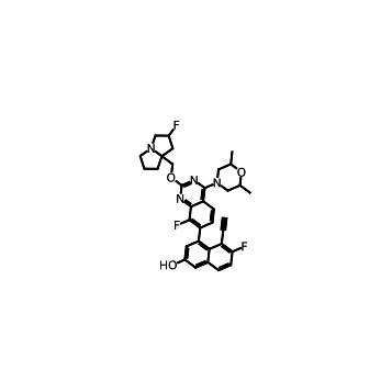 C#Cc1c(F)ccc2cc(O)cc(-c3ccc4c(N5CC(C)OC(C)C5)nc(OCC56CCCN5CC(F)C6)nc4c3F)c12